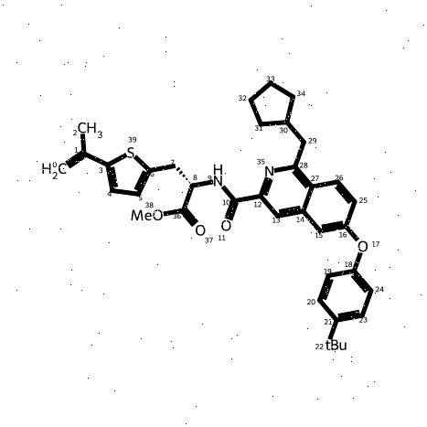 C=C(C)c1ccc(C[C@H](NC(=O)c2cc3cc(Oc4ccc(C(C)(C)C)cc4)ccc3c(CC3CCCC3)n2)C(=O)OC)s1